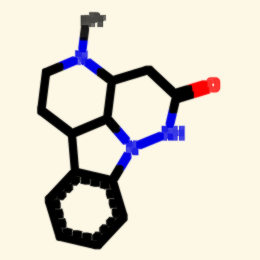 CCCN1CCC2c3ccccc3N3NC(=O)CC1C23